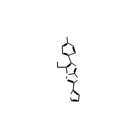 OCc1c(-c2ccc(Br)cc2)nc2sc(-c3cccs3)nn12